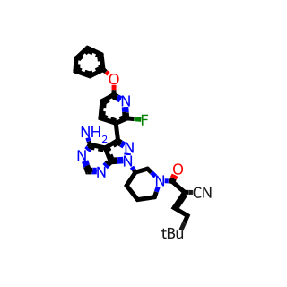 CC(C)(C)CC=C(C#N)C(=O)N1CCCC(n2nc(-c3ccc(Oc4ccccc4)nc3F)c3c(N)ncnc32)C1